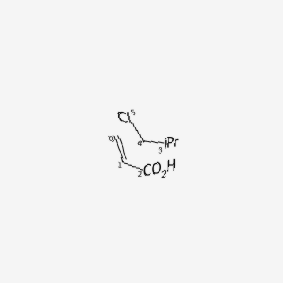 C=CC(=O)O.CC(C)CCl